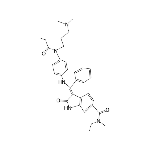 CCC(=O)N(CCCN(C)C)c1ccc(N/C(=C2\C(=O)Nc3cc(C(=O)N(C)CC)ccc32)c2ccccc2)cc1